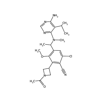 COc1c(C(C)N(C)c2ncnc(N)c2C(C)C)cc(Cl)c(C#N)c1C1CN(C(C)=O)C1